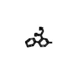 Cc1ccc(-c2ccccc2)c(C(=O)CBr)c1